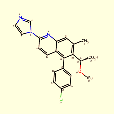 Cc1cc2nc(-n3ccnc3)ccc2c(-c2ccc(Cl)cc2)c1[C@H](OC(C)(C)C)C(=O)O